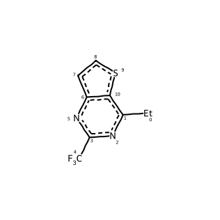 CCc1nc(C(F)(F)F)nc2ccsc12